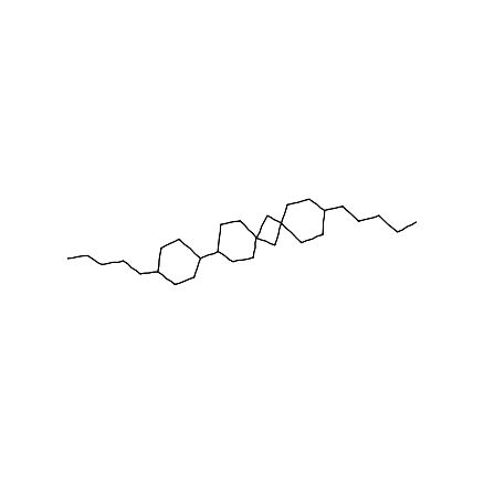 CCCCCC1CCC(C2CCC3(CC2)CC2(CCC(CCCCC)CC2)C3)CC1